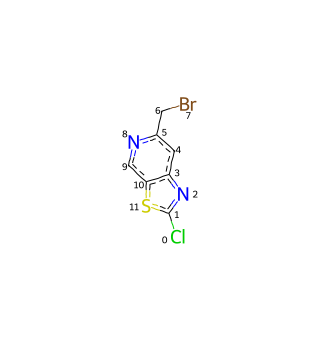 Clc1nc2cc(CBr)ncc2s1